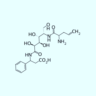 C=CCC(N)C(=O)N[C@@H](CO)[C@@H](O)[C@@H](O)[C@H](O)C(=O)NC(CC(=O)O)c1ccccc1